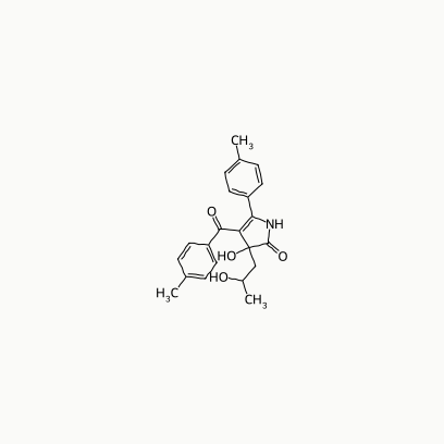 Cc1ccc(C(=O)C2=C(c3ccc(C)cc3)NC(=O)C2(O)CC(C)O)cc1